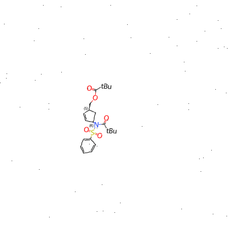 CC(C)(C)C(=O)OC[C@@H]1C=C[C@H](N(C(=O)C(C)(C)C)S(=O)(=O)c2ccccc2)C1